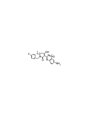 CC[C@H]1CC(O)=C(C2=Nc3ccc(N)cc3S(C)(=O)=N2)C(=O)N1Cc1ccc(F)cc1